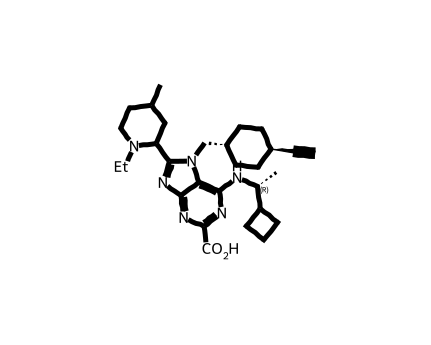 C#C[C@H]1CC[C@H](Cn2c(C3CC(C)CCN3CC)nc3nc(C(=O)O)nc(N[C@H](C)C4CCC4)c32)CC1